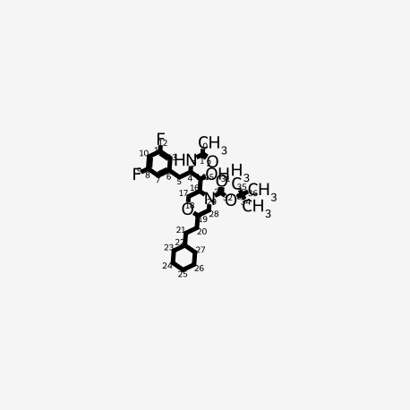 CC(=O)NC(Cc1cc(F)cc(F)c1)C(O)C1COC(CCC2CCCCC2)CN1C(=O)OC(C)(C)C